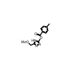 COCc1nnc(OC(=O)c2ccc(C)cc2)[nH]1